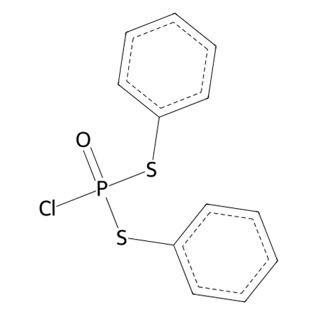 O=P(Cl)(Sc1ccccc1)Sc1ccccc1